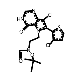 CC(C)(C)ON(C=O)CCn1c(-c2sccc2Cl)c(Cl)c2nc[nH]c(=O)c21